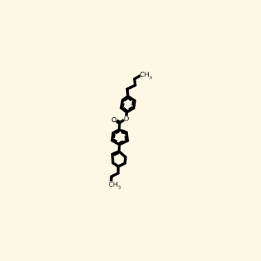 CCCCc1ccc(OC(=O)c2ccc(C3=CCC(CCC)CC3)cc2)cc1